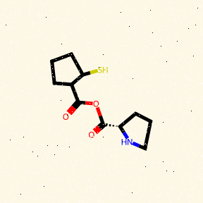 O=C(OC(=O)[C@@H]1CCCN1)C1CCCC1S